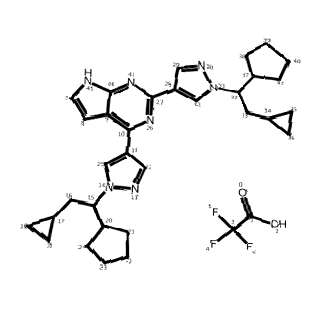 O=C(O)C(F)(F)F.c1cc2c(-c3cnn(C(CC4CC4)C4CCCC4)c3)nc(-c3cnn(C(CC4CC4)C4CCCC4)c3)nc2[nH]1